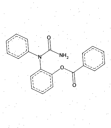 NC(=O)N(c1ccccc1)c1ccccc1OC(=O)c1ccccc1